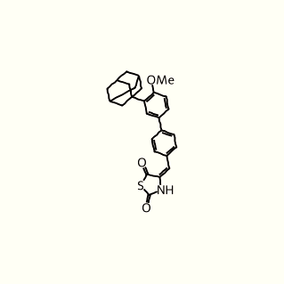 COc1ccc(-c2ccc(C=C3NC(=O)SC3=O)cc2)cc1C12CC3CC(CC(C3)C1)C2